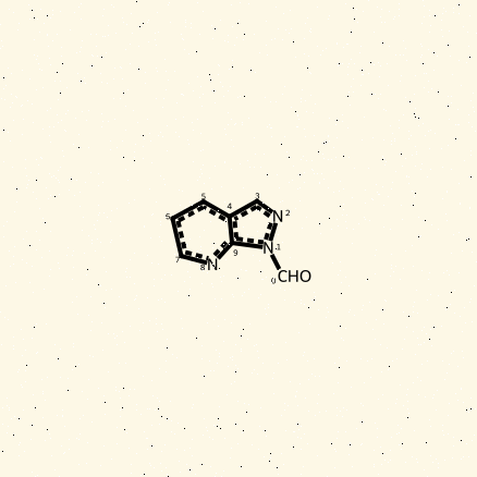 O=Cn1ncc2cccnc21